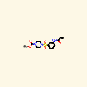 C=CC(=O)Nc1cccc(S(=O)(=O)N2CCN(C(=O)OC(C)(C)C)CC2)c1